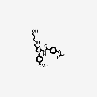 COc1ccc(-n2cc(CNCCCO)nc2NC(=O)c2ccc(OC(F)F)cc2)cc1